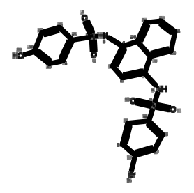 O=S(=O)(Nc1ccc(NS(=O)(=O)c2ccc(Br)cc2)c2ccccc12)c1ccc(O)cc1